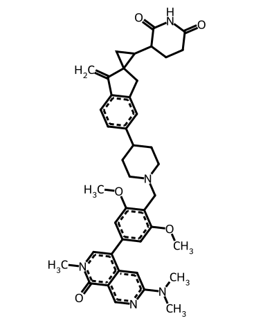 C=C1c2ccc(C3CCN(Cc4c(OC)cc(-c5cn(C)c(=O)c6cnc(N(C)C)cc56)cc4OC)CC3)cc2CC12CC2C1CCC(=O)NC1=O